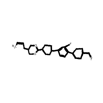 C/C=C\CC1COC(C2CCC(c3ccc(C4CCC(CF)CC4)c(F)c3)CC2)OC1